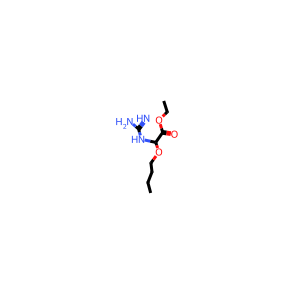 CCCCOC(NC(=N)N)C(=O)OCC